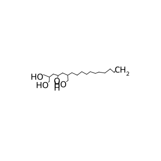 C=CCCCCCCCCCC(CO)CC(O)CC(CO)CO